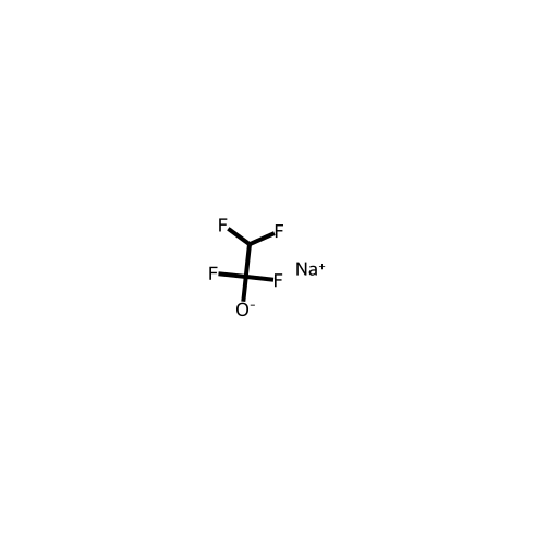 [Na+].[O-]C(F)(F)C(F)F